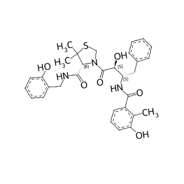 Cc1c(O)cccc1C(=O)N[C@@H](Cc1ccccc1)[C@H](O)C(=O)N1CSC(C)(C)[C@H]1C(=O)NCc1ccccc1O